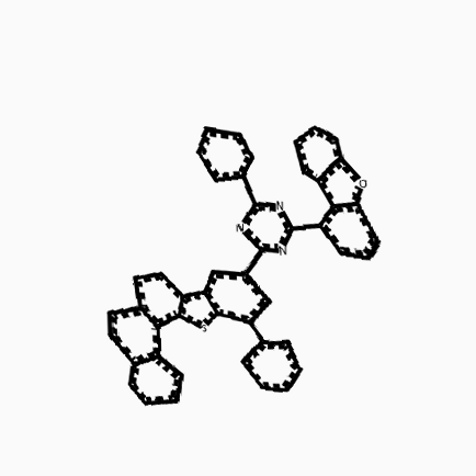 c1ccc(-c2nc(-c3cc(-c4ccccc4)c4sc5c(ccc6ccc7ccccc7c65)c4c3)nc(-c3cccc4oc5ccccc5c34)n2)cc1